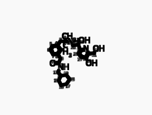 CC(C)(Cc1cccc(CC(=O)NCC2CCCCC2)c1)NCC(O)c1ccc(O)c(CO)n1